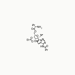 C=NC[C@@]1(c2ccc3c(NC(=O)C(C)C)ncnn23)O[C@H](COC(=O)[C@@H](N)C(C)C)[C@@H](OC(=O)CC)[C@H]1O